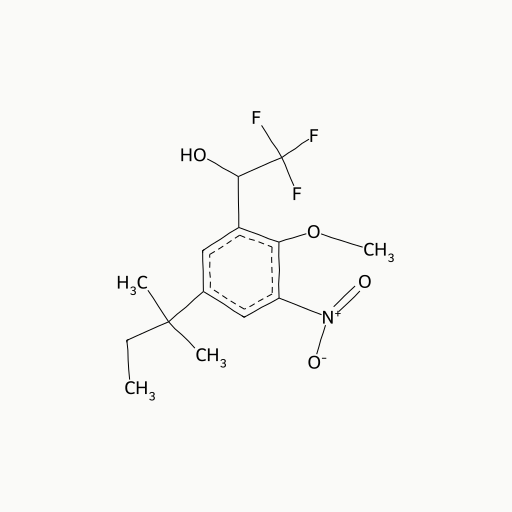 CCC(C)(C)c1cc(C(O)C(F)(F)F)c(OC)c([N+](=O)[O-])c1